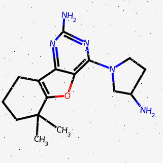 CC1(C)CCCc2c1oc1c(N3CCC(N)C3)nc(N)nc21